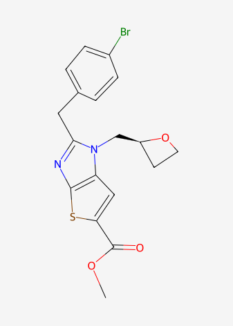 COC(=O)c1cc2c(nc(Cc3ccc(Br)cc3)n2C[C@@H]2CCO2)s1